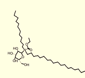 CCCCCCCCCCCCCCCCCC[N+](CCCCCCCCCCCC)(C(=O)OCC)C1O[C@H](CO)[C@@H](O)[C@H](O)[C@@H]1O